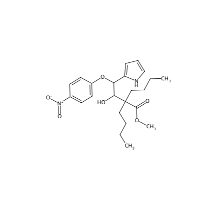 CCCCC(CCCC)(C(=O)OC)C(O)C(Oc1ccc([N+](=O)[O-])cc1)c1ccc[nH]1